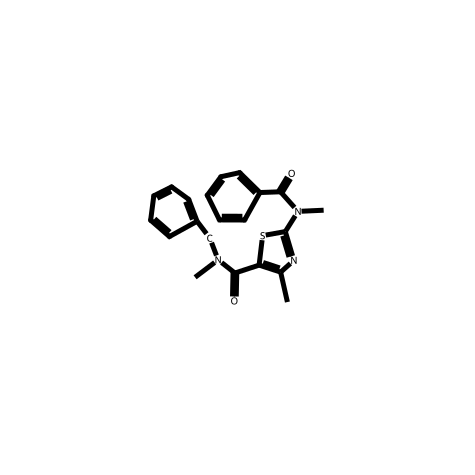 Cc1nc(N(C)C(=O)c2ccccc2)sc1C(=O)N(C)Cc1ccccc1